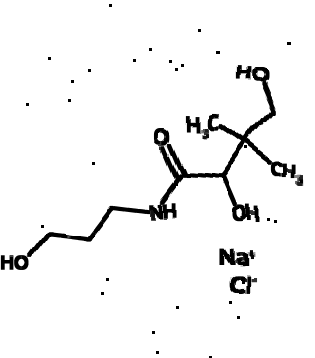 CC(C)(CO)C(O)C(=O)NCCCO.[Cl-].[Na+]